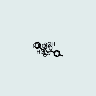 Cc1ccc(C2OP(=O)(O)C(O)(Cc3cccnc3)P(=O)(O)O2)cc1